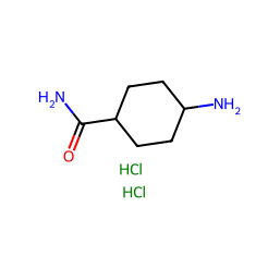 Cl.Cl.NC(=O)C1CCC(N)CC1